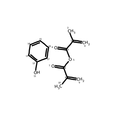 C=C(C)C(=O)OC(=O)C(=C)C.Oc1ccccc1